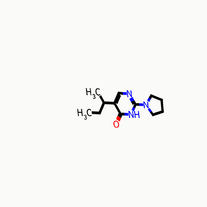 CCC(C)c1cnc(N2CCCC2)[nH]c1=O